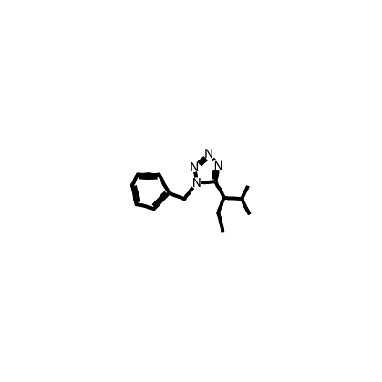 CCC(c1nnnn1Cc1ccccc1)C(C)C